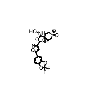 O=C(NO)C1(NCc2cc(-c3ccc4c(c3)OC(F)(F)O4)on2)CCS(=O)(=O)CC1